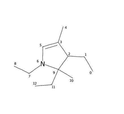 CCC1C(C)=CN(CC)C1(C)CC